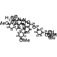 COc1ccc(CN(Cc2ccc(OC)cc2)c2nc(S(C)(=O)=O)nc3nc(OC(COCc4cccc(CO[Si](C)(C)C(C)(C)C)c4)c4ccccc4)[nH]c23)cc1